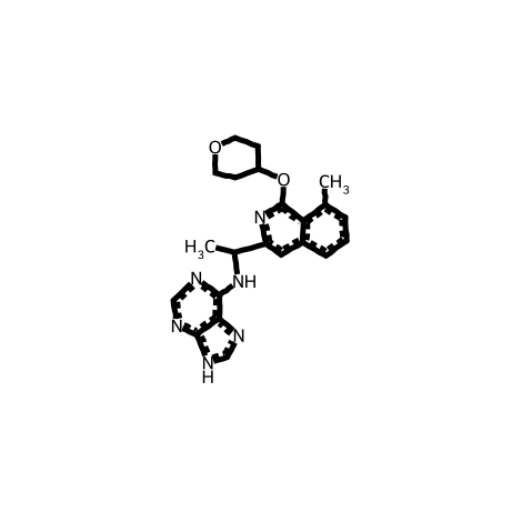 Cc1cccc2cc(C(C)Nc3ncnc4[nH]cnc34)nc(OC3CCOCC3)c12